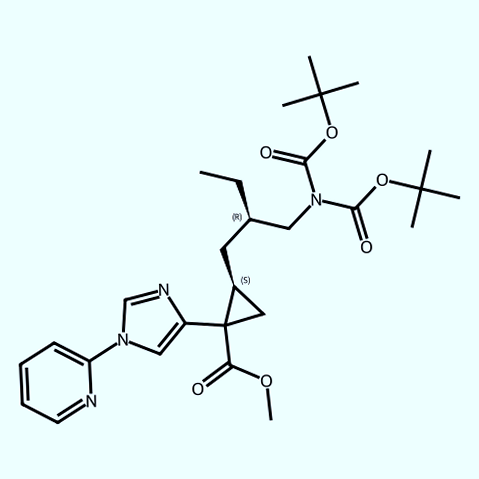 CC[C@H](C[C@H]1CC1(C(=O)OC)c1cn(-c2ccccn2)cn1)CN(C(=O)OC(C)(C)C)C(=O)OC(C)(C)C